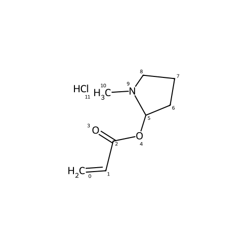 C=CC(=O)OC1CCCN1C.Cl